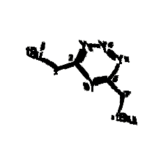 CC(C)(C)C[C]1=[Y][Y]=[Y][C](CC(C)(C)C)=[Y]1